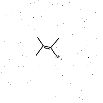 BC(C)=C(C)C